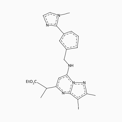 CCOC(=O)C(C)c1cc(NCc2cccc(-c3nccn3C)c2)n2nc(C)c(I)c2n1